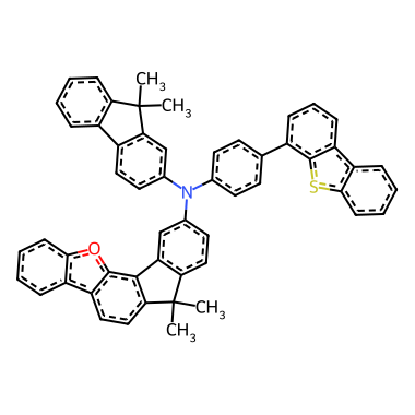 CC1(C)c2ccccc2-c2ccc(N(c3ccc(-c4cccc5c4sc4ccccc45)cc3)c3ccc4c(c3)-c3c(ccc5c3oc3ccccc35)C4(C)C)cc21